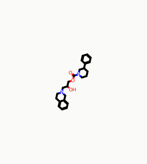 O=C(OCC(O)CN1CCc2ccccc2C1)N1CCCC(c2ccccc2)C1